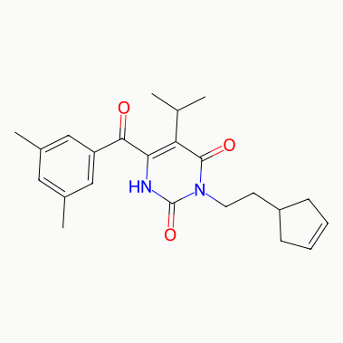 Cc1cc(C)cc(C(=O)c2[nH]c(=O)n(CCC3CC=CC3)c(=O)c2C(C)C)c1